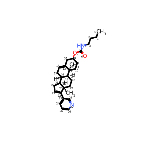 CCCCNC(=O)O[C@H]1CC[C@@]2(C)C(=CC[C@@H]3[C@@H]2CC[C@]2(C)C(c4cccnc4)=CC[C@@H]32)C1